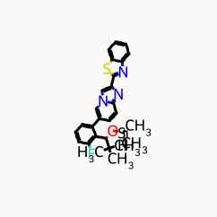 C[SiH](C)OC(c1c(F)cccc1-c1ccc2nc(-c3nc4ccccc4s3)cn2c1)C(C)(C)C